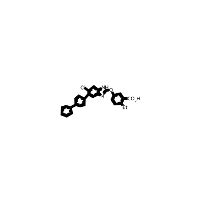 CCc1ccc(Oc2nc3cc(-c4ccc(-c5ccccc5)cc4)c(Cl)cc3[nH]2)cc1C(=O)O